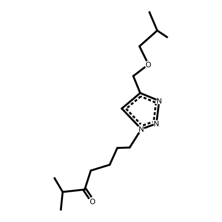 CC(C)COCc1cn(CCCCC(=O)C(C)C)nn1